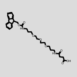 O=C(O)CCC(=O)NCCCOCCOCCOCCCNC(=O)OCC1c2ccccc2-c2ccccc21